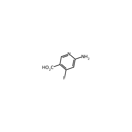 Nc1cc(F)c(C(=O)O)cn1